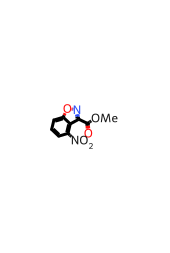 COC(=O)c1noc2cccc([N+](=O)[O-])c12